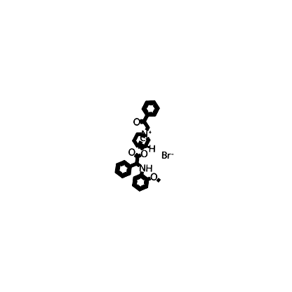 COc1ccccc1NC(C(=O)O[C@H]1C[N+]2(CC(=O)c3ccccc3)CCC1CC2)c1ccccc1.[Br-]